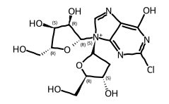 OC[C@H]1O[C@@H]([N@+]2(C3C[C@H](O)[C@@H](CO)O3)C=Nc3c(O)nc(Cl)nc32)[C@H](O)[C@@H]1O